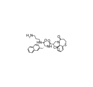 CC(CN1C(=O)CCSc2ccccc21)C(=O)N[C@H](Cc1ccc2ccccc2c1)C(=O)NCCCN